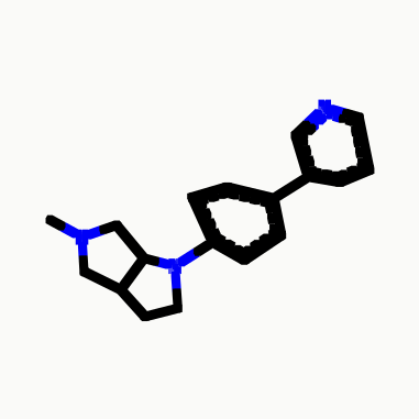 CN1CC2CCN(c3ccc(-c4cccnc4)cc3)C2C1